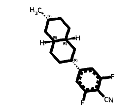 C[C@@H]1CC[C@@H]2C[C@H](c3cc(F)c(C#N)c(F)c3)CC[C@@H]2C1